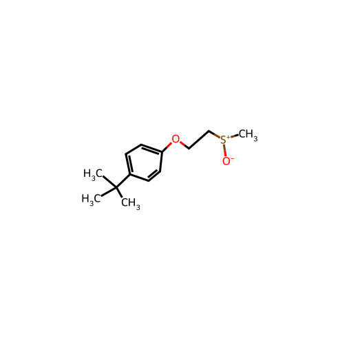 C[S+]([O-])CCOc1ccc(C(C)(C)C)cc1